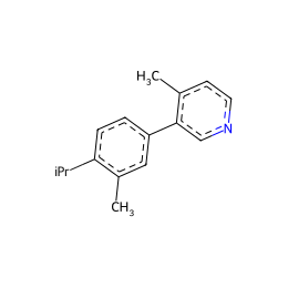 Cc1ccncc1-c1ccc(C(C)C)c(C)c1